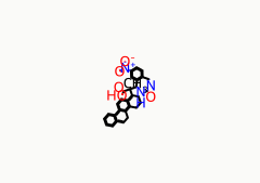 CC(C(=O)O)(C1=c2ccc3c(c2CCC1)CC=c1ccccc1=3)C1NC(=O)N=Cc2ccc([N+](=O)[O-])cc21